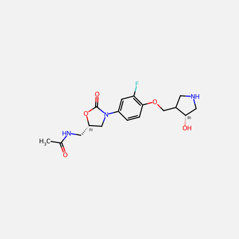 CC(=O)NC[C@H]1CN(c2ccc(OCC3CNC[C@@H]3O)c(F)c2)C(=O)O1